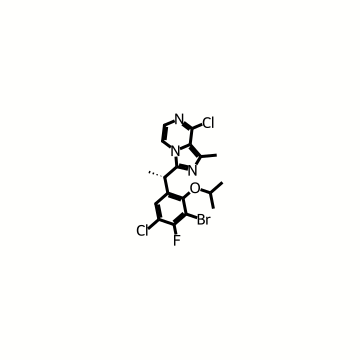 Cc1nc([C@@H](C)c2cc(Cl)c(F)c(Br)c2OC(C)C)n2ccnc(Cl)c12